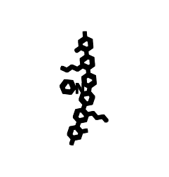 CCCCc1cc(-c2ccc(C)cc2C)ccc1-c1ccc2c3ccc(-c4ccc(-c5ccc(C)cc5C)cc4CCCC)cc3n(-c3ccccc3)c2c1